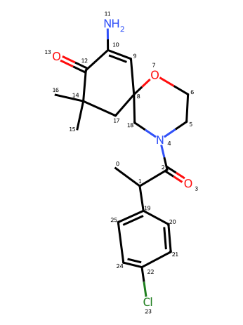 CC(C(=O)N1CCOC2(C=C(N)C(=O)C(C)(C)C2)C1)c1ccc(Cl)cc1